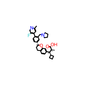 Cc1cc(-c2ccc([C@H]3CCc4ccc([C@H](C5CCC5)[C@H](C)C(=O)O)cc4O3)cc2CN2CCCC2)c(F)cn1